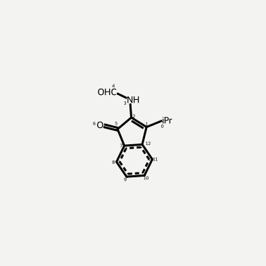 CC(C)C1=C(NC=O)C(=O)c2ccccc21